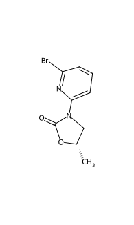 C[C@H]1CN(c2cccc(Br)n2)C(=O)O1